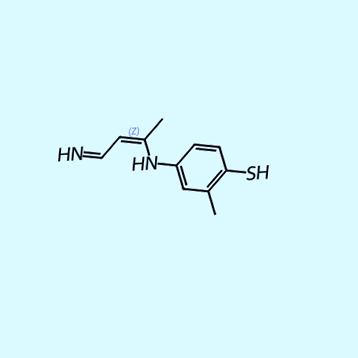 C/C(=C/C=N)Nc1ccc(S)c(C)c1